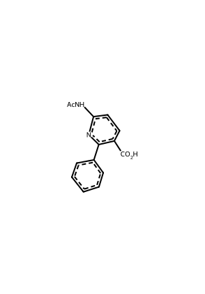 CC(=O)Nc1ccc(C(=O)O)c(-c2ccccc2)n1